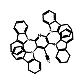 N#Cc1c(-n2c3c(c4ccccc42)CCC=C3)c(-n2c3c(c4ccccc42)CCC=C3)nc(-n2c3c(c4ccccc42)CCC=C3)c1-n1c2c(c3ccccc31)CCC=C2